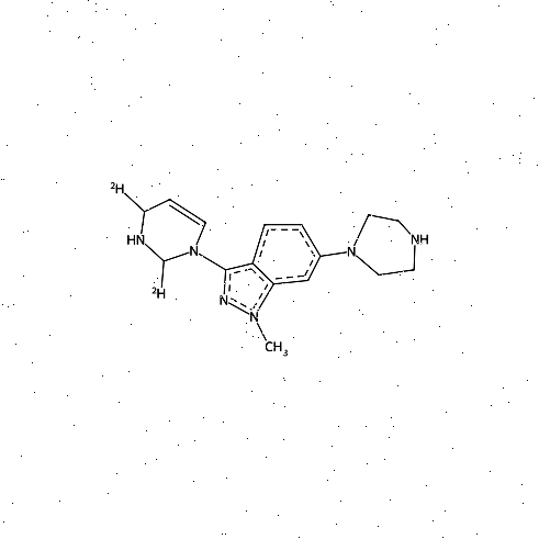 [2H]C1C=CN(c2nn(C)c3cc(N4CCNCC4)ccc23)C([2H])N1